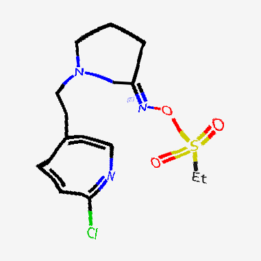 CCS(=O)(=O)O/N=C1\CCCN1Cc1ccc(Cl)nc1